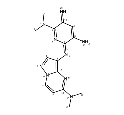 CN(C)C1=N/C(=N\c2cnn3ccc(N(C)C)nc23)C(N)=CC1=N